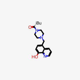 CC[C@@H](C)C(=O)N1CCN(Cc2ccc(O)c3ncccc23)CC1